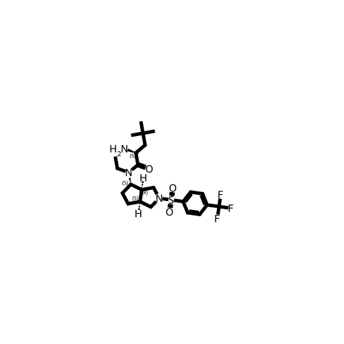 CCN(C(=O)[C@@H](N)CC(C)(C)C)[C@H]1CC[C@@H]2CN(S(=O)(=O)c3ccc(C(F)(F)F)cc3)C[C@@H]21